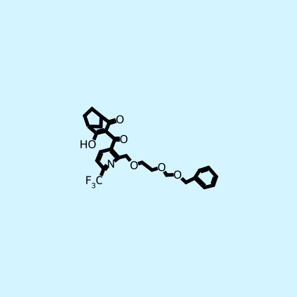 O=C(C1=C(O)C2CCC(C2)C1=O)c1ccc(C(F)(F)F)nc1COCCOCOCc1ccccc1